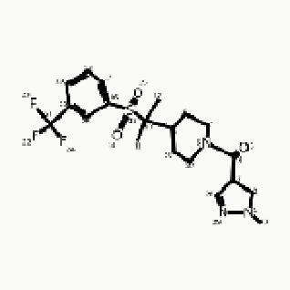 CN1CC(C(=O)N2CCC(C(C)(C)S(=O)(=O)c3cccc(C(F)(F)F)c3)CC2)C=N1